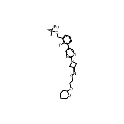 CC(C)(C)[Si](C)(C)OCc1cccc(-c2cnc(N3CC(=NOCCOC4CCCCO4)C3)nc2)c1F